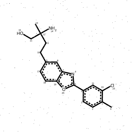 Cc1ccc(-c2nc3cc(CCC(C)(N)CO)ccc3o2)cc1Cl